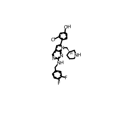 Oc1ccc(-c2cc3cnc(NCc4ccc(F)c(F)c4)nc3n2C[C@@H]2CCCNC2)c(Cl)c1